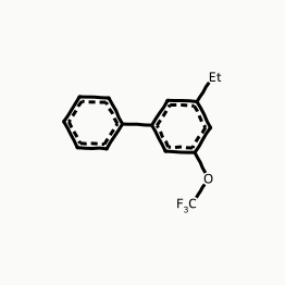 CCc1cc(OC(F)(F)F)cc(-c2ccccc2)c1